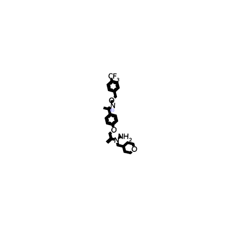 C=C(COc1ccc(/C(C)=N/OCc2ccc(C(F)(F)F)cc2)cc1)N(N)CC1CCOCC1